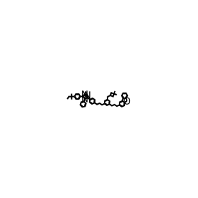 CCC(C)(C)c1ccc(-c2nnc(-c3ccc(CCCc4cc(CCCc5ccc6oc7ccccc7c6c5)cc(CC5CC(C)(C)C5)c4)cc3)n2-c2ccccc2)cc1